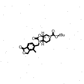 Cc1c(CN2C(=O)O[C@@H]3CN(C(=O)OC(C)(C)C)CC[C@@H]32)ccc2c1COC2=O